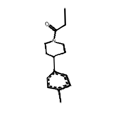 CCC(=O)N1CCC(c2ccc(C)cc2)CC1